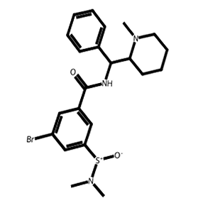 CN1CCCCC1C(NC(=O)c1cc(Br)cc([S+]([O-])N(C)C)c1)c1ccccc1